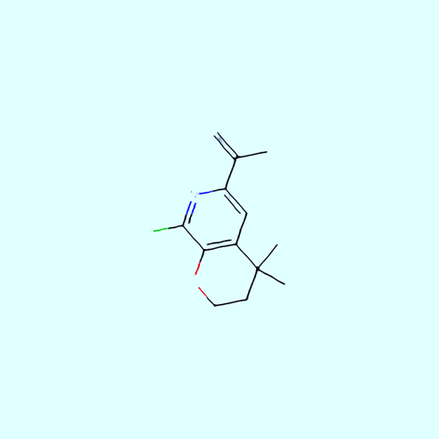 C=C(C)c1cc2c(c(Cl)n1)OCCC2(C)C